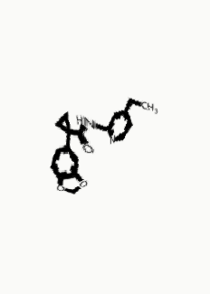 CCc1ccnc(NC(=O)C2(c3ccc4c(c3)OCO4)CC2)c1